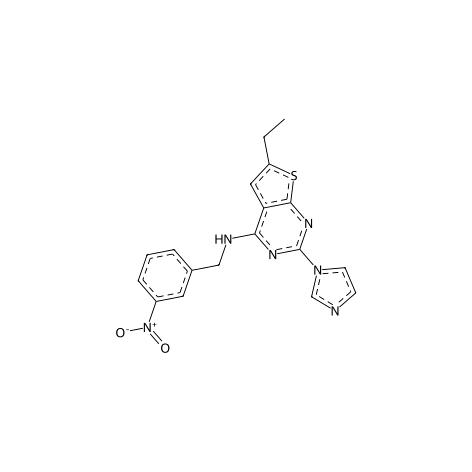 CCc1cc2c(NCc3cccc([N+](=O)[O-])c3)nc(-n3ccnc3)nc2s1